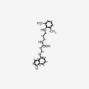 Cc1cccc(C)c1NCCCNC(O)CCOc1cccc2[nH]ncc12